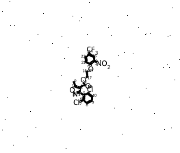 Cc1onc(-c2c(Cl)cccc2Cl)c1C(=O)OCCOc1ccc(C(F)(F)F)cc1[N+](=O)[O-]